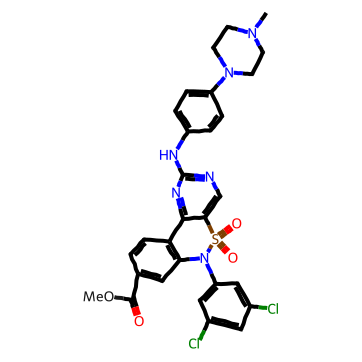 COC(=O)c1ccc2c(c1)N(c1cc(Cl)cc(Cl)c1)S(=O)(=O)c1cnc(Nc3ccc(N4CCN(C)CC4)cc3)nc1-2